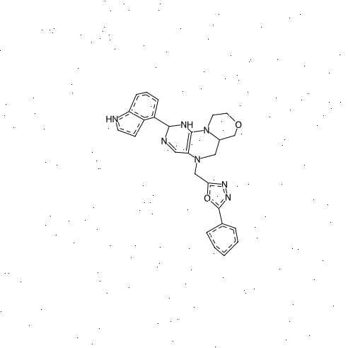 C1=NC(c2cccc3[nH]ccc23)NC2=C1N(Cc1nnc(-c3ccccc3)o1)CC1COCCN21